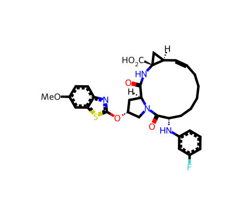 COc1ccc2nc(O[C@@H]3C[C@H]4C(=O)N[C@]5(C(=O)O)C[C@H]5/C=C\CCCCC[C@H](Nc5cccc(F)c5)C(=O)N4C3)sc2c1